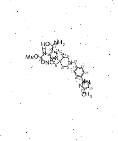 COC(=O)Nc1nn(C2(CC#N)CCN(Cc3ccc(-n4ncc(C)n4)cc3)CC2F)cc1C(N)O